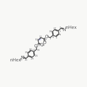 CCCCCCN=Cc1ccc(COC(=O)/C=C\C(=O)OCc2ccc(C=NCCCCCC)cc2)cc1